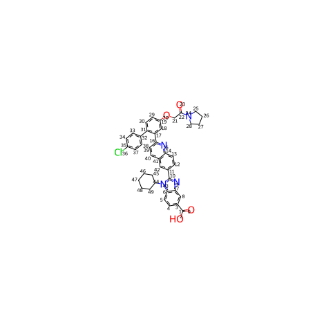 O=C(O)c1ccc2c(c1)nc(-c1ccc3nc(-c4cc(OCC(=O)N5CCCC5)ccc4-c4ccc(Cl)cc4)ccc3c1)n2C1CCCCC1